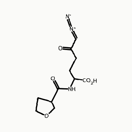 [N-]=[N+]=CC(=O)CCC(NC(=O)C1CCOC1)C(=O)O